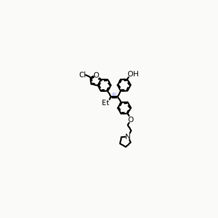 CC/C(=C(/c1ccc(O)cc1)c1ccc(OCCN2CCCC2)cc1)c1ccc2oc(Cl)cc2c1